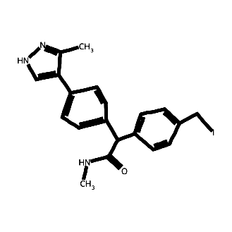 CNC(=O)C(c1ccc(CI)cc1)c1ccc(-c2c[nH]nc2C)cc1